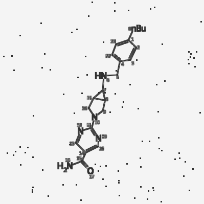 CCCCc1ccc(CNC2C3CN(c4ncc(C(N)=O)cn4)CC32)cc1